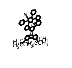 CC(C)(C)c1ccc2c(c1)c1cc(C(C)(C)C)ccc1n2-c1ccc2c(c1)c1ccccc1n2-c1c(-c2ccccc2)c(-c2ccccc2)c(C#N)c(-c2ccccc2)c1-c1ccccc1